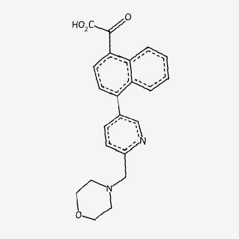 O=C(O)C(=O)c1ccc(-c2ccc(CN3CCOCC3)nc2)c2ccccc12